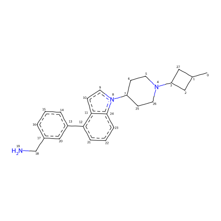 CC1CC(N2CCC(n3ccc4c(-c5cccc(CN)c5)cccc43)CC2)C1